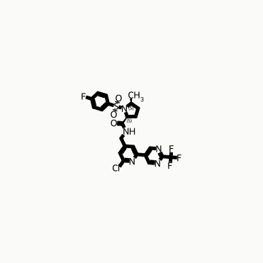 C[C@H]1CC[C@@H](C(=O)NCc2cc(Cl)nc(-c3cnc(C(F)(F)F)nc3)c2)N1S(=O)(=O)c1ccc(F)cc1